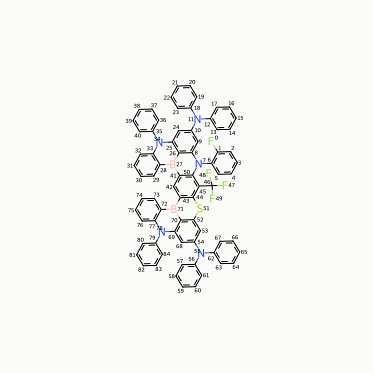 Fc1ccccc1N1c2cc(N(c3ccccc3)c3ccccc3)cc3c2B(c2ccccc2N3c2ccccc2)c2cc3c(c(C(F)(F)F)c21)Sc1cc(N(c2ccccc2)c2ccccc2)cc2c1B3c1ccccc1N2c1ccccc1